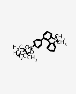 CC1(C)OB(c2ccc(-c3cccc4c3-c3ccccc3[Si]4(C)C)cc2)OC1(C)C